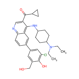 CCN(CC)C1CCC(Nc2c(C(=O)C3CC3)cnc3ccc(-c4cc(Cl)c(O)c(CO)c4)cc23)CC1